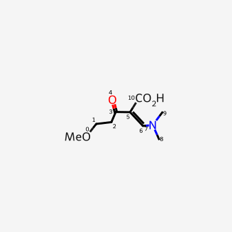 COCCC(=O)C(=CN(C)C)C(=O)O